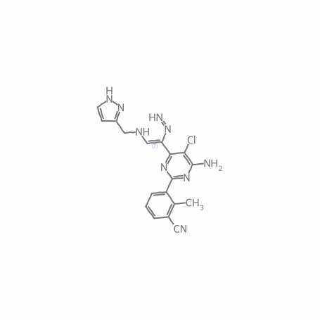 Cc1c(C#N)cccc1-c1nc(N)c(Cl)c(/C(=C/NCc2cc[nH]n2)N=N)n1